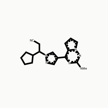 CNc1nc(-c2cnn(C(CC#N)C3CCCC3)c2)c2cccn2n1